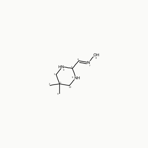 CC1(C)CNC(/C=N/O)NC1